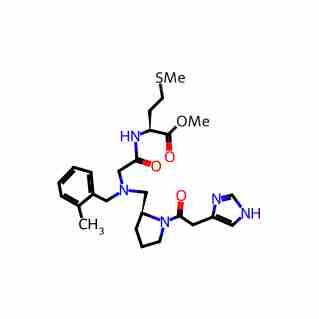 COC(=O)[C@H](CCSC)NC(=O)CN(Cc1ccccc1C)C[C@@H]1CCCN1C(=O)Cc1c[nH]cn1